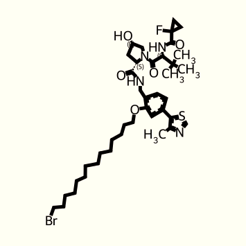 Cc1ncsc1-c1ccc(CNC(=O)[C@@H]2C[C@@H](O)CN2C(=O)[C@@H](NC(=O)C2(F)CC2)C(C)(C)C)c(OCCCCCCCCCCCCCCBr)c1